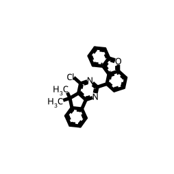 CC1(C)c2ccccc2-c2nc(-c3cccc4oc5ccccc5c34)nc(Cl)c21